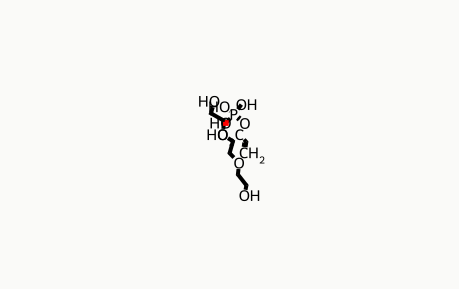 C=CC(=O)O.O=P(O)(O)O.OCCOCCOCCO